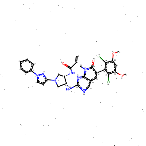 C=CC(=O)N[C@H]1CN(c2ccn(-c3ccccc3)n2)C[C@H]1Nc1ncc2cc(-c3c(Cl)c(OC)cc(OC)c3Cl)c(=O)n(C)c2n1